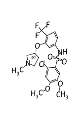 COc1cc(Cl)c(S(=O)(=O)Nc2ccc(C(F)(F)F)c(O[C@@H]3CCN(C)C3)c2)cc1OC